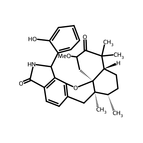 COC1C[C@@]23Oc4c(ccc5c4C(c4ccccc4O)NC5=O)C[C@]2(C)[C@@H](C)CC[C@H]3C(C)(C)C1=O